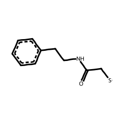 O=C(C[S])NCCc1ccccc1